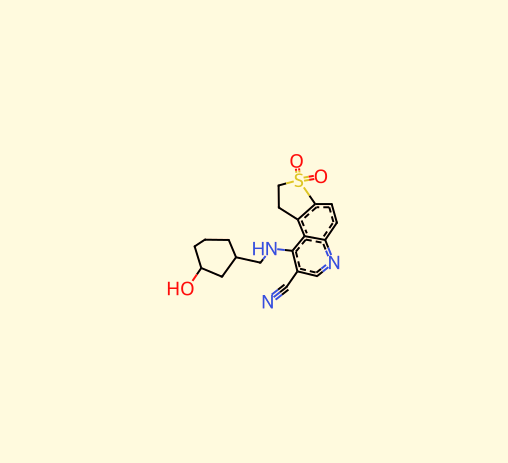 N#Cc1cnc2ccc3c(c2c1NCC1CCCC(O)C1)CCS3(=O)=O